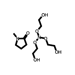 CN1CCCC1=O.OCCON(OCCO)OCCO